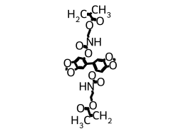 C=C(C)C(=O)OCCNC(=O)Oc1cc2c(cc1-c1cc3c(cc1OC(=O)NCCOC(=O)C(=C)C)OCO3)OCO2